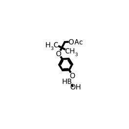 CC(=O)OCC(C)(C)Oc1ccc(OBO)cc1